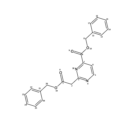 O=C(Cc1nccc(C(=O)OCc2ccccc2)n1)OCc1ccccc1